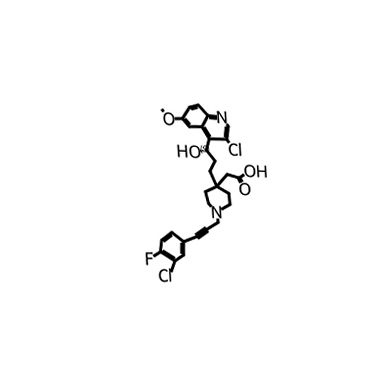 COc1ccc2ncc(Cl)c([C@@H](O)CCC3(CC(=O)O)CCN(CC#Cc4ccc(F)c(Cl)c4)CC3)c2c1